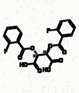 O=C(O[C@@H](C(=O)O)[C@@H](OC(=O)c1ccccc1F)C(=O)O)c1ccccc1F